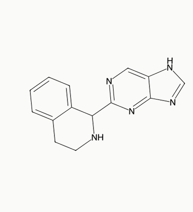 c1ccc2c(c1)CCNC2c1ncc2[nH]cnc2n1